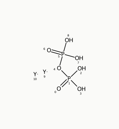 O=P(O)(O)OP(=O)(O)O.[Y].[Y]